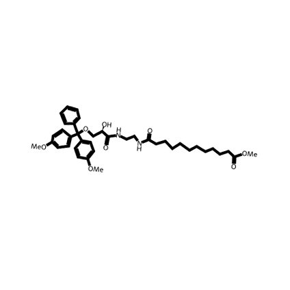 COC(=O)CCCCCCCCCCC(=O)NCCNC(=O)[C@@H](O)COC(c1ccccc1)(c1ccc(OC)cc1)c1ccc(OC)cc1